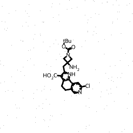 CC(C)(C)OC(=O)N1CC(N)(Cc2[nH]c3c(c2C(=O)O)CCc2cnc(Cl)cc2-3)C1